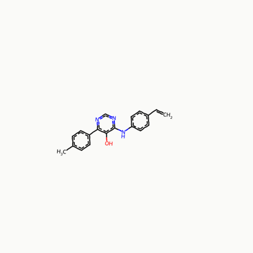 C=Cc1ccc(Nc2ncnc(-c3ccc(C)cc3)c2O)cc1